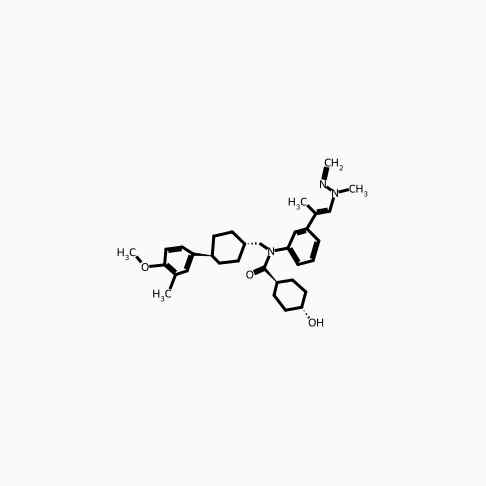 C=NN(C)/C=C(\C)c1cccc(N(C[C@H]2CC[C@H](c3ccc(OC)c(C)c3)CC2)C(=O)[C@H]2CC[C@H](O)CC2)c1